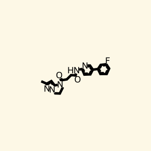 Cc1cc2n(n1)CCCN2C(=O)CCC(=O)Nc1ccc(-c2cccc(F)c2)cn1